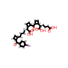 O=C(O)CCC[C@@H](C(=O)O)C1CCC1C(=O)C1CCC1[C@@H](CCCCC1CCC1C(=O)c1ccc(I)cc1)C(=O)O